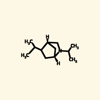 CC(C)C1C[C@@H]2C[C@H]1CN2C(C)C